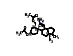 C=C1CCC2C(/C=C/N)C([C@@]3(C)CC[C@H](OC(C)=O)C[C@@H]3COC(C)=O)CC[C@]12C